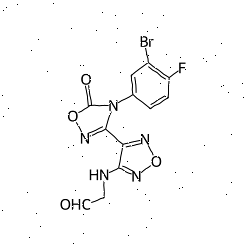 O=CCNc1nonc1-c1noc(=O)n1-c1ccc(F)c(Br)c1